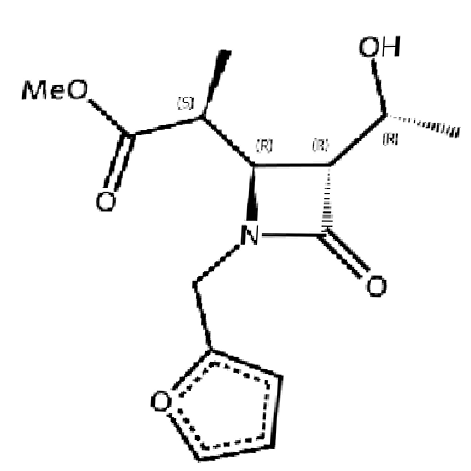 COC(=O)[C@@H](C)[C@H]1[C@H]([C@@H](C)O)C(=O)N1Cc1ccco1